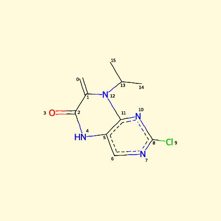 C=C1C(=O)Nc2cnc(Cl)nc2N1C(C)C